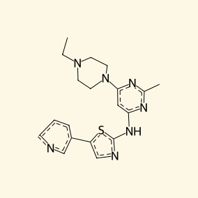 CCN1CCN(c2cc(Nc3ncc(-c4cccnc4)s3)nc(C)n2)CC1